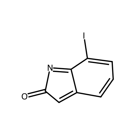 O=C1C=c2cccc(I)c2=N1